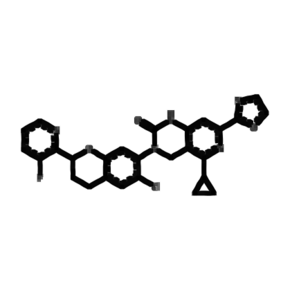 O=C1Nc2cc(-c3ncco3)nc(C3CC3)c2CN1c1cc2c(cc1Cl)CCC(c1ncccc1F)O2